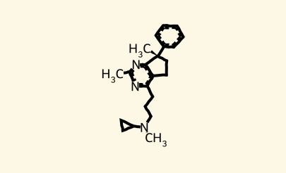 Cc1nc(CCCN(C)C2CC2)c2c(n1)[C@](C)(c1ccccc1)CC2